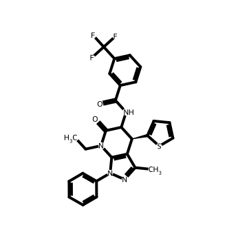 CCN1C(=O)C(NC(=O)c2cccc(C(F)(F)F)c2)[C@@H](c2cccs2)c2c(C)nn(-c3ccccc3)c21